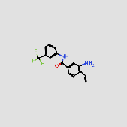 C=Cc1ccc(C(=O)Nc2cccc(C(F)(F)F)c2)cc1N